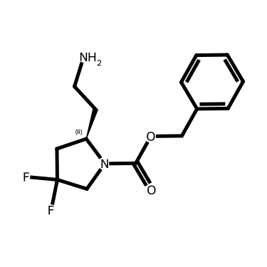 NCC[C@@H]1CC(F)(F)CN1C(=O)OCc1ccccc1